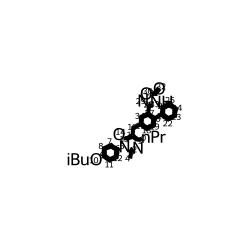 CCCc1nc(C)n(-c2ccc(OCC(C)C)cc2)c(=O)c1Cc1ccc(-c2ccccc2)c(-c2noc(=O)[nH]2)c1